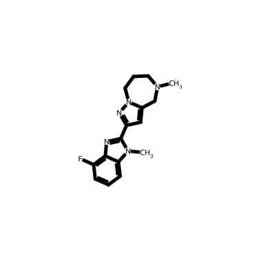 CN1CCCn2nc(-c3nc4c(F)cccc4n3C)cc2C1